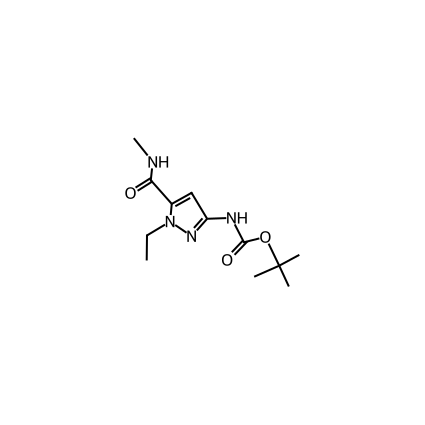 CCn1nc(NC(=O)OC(C)(C)C)cc1C(=O)NC